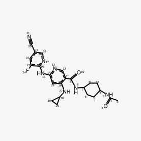 CC(=O)NC1CCC(NC(=O)c2cnc(Nc3ncc(C#N)cc3F)cc2NC2CC2)CC1